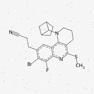 CSc1nc2c(F)c(Br)c(CCC#N)cc2c2c1CCCN2C1C2CCC1C2